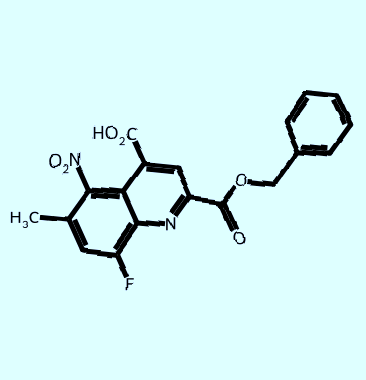 Cc1cc(F)c2nc(C(=O)OCc3ccccc3)cc(C(=O)O)c2c1[N+](=O)[O-]